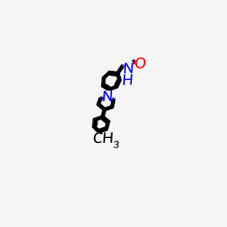 Cc1ccc(C2CCN(C3=CCC=C(CNC=O)C=C3)CC2)cc1